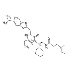 CCC(=O)NC(Cc1nc2ccc(C(C)C)cc2s1)C(=O)N[C@@H](CNC(=O)CCN1CCOCC1)C1CCCCC1